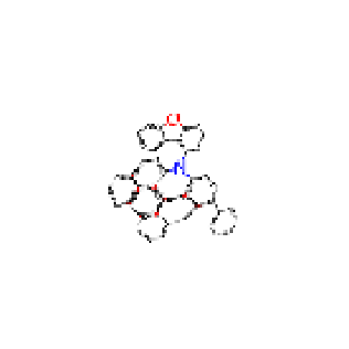 c1ccc(-c2ccc(N(c3ccccc3-c3cccc4cccc(-c5ccccc5)c34)c3cccc4oc5ccccc5c34)c(-c3ccccc3)c2)cc1